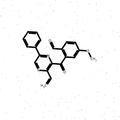 C=Cc1ncc(-c2ccccc2)nc1C(=O)c1cc(OC)ccc1C=O